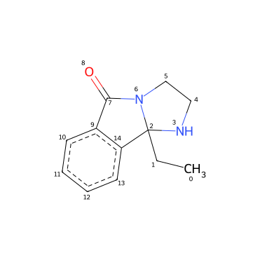 CCC12NCCN1C(=O)c1ccccc12